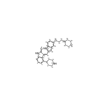 O=C1Nc2cccc(C3CCNCC3)c2C1=Cc1cc2cc(OCCN3CCOCC3)ccc2[nH]1